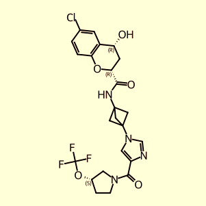 O=C(NC12CC(n3cnc(C(=O)N4CC[C@H](OC(F)(F)F)C4)c3)(C1)C2)[C@H]1C[C@@H](O)c2cc(Cl)ccc2O1